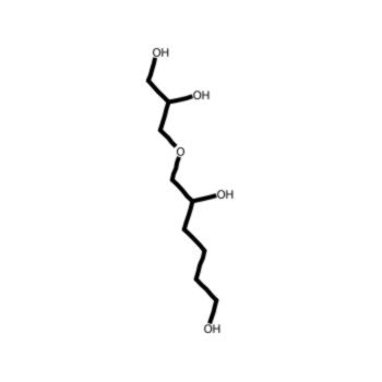 OCCCCC(O)COCC(O)CO